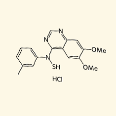 COc1cc2ncnc(N(S)c3cccc(C)c3)c2cc1OC.Cl